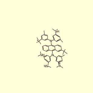 Cc1cc(N(c2cc(C)cc([Si](C)(C)C)c2)c2c3ccccc3c(N(c3cc(C)cc([SiH](C)C)c3)c3cc([SiH](C)C)cc([SiH](C)C)c3)c3cc(C(C)(C)C)ccc23)cc([SiH](C)C)c1